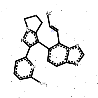 CC(=O)/C=C/c1c(-c2c(-c3cccc(C)n3)nn3c2CCC3)ccc2ncnn12